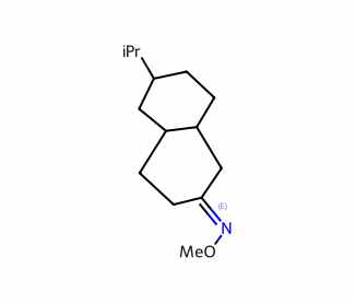 CO/N=C1\CCC2CC(C(C)C)CCC2C1